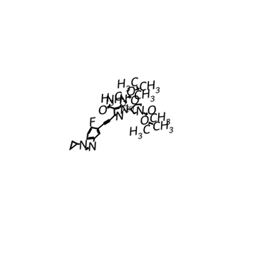 CN(C(=O)OC(C)(C)C)c1c(C(N)=O)c(C#Cc2cc3ncn(C4CC4)c3cc2F)nn1[C@H]1CCN(C(=O)OC(C)(C)C)C1